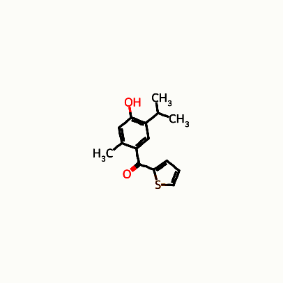 Cc1cc(O)c(C(C)C)cc1C(=O)c1cccs1